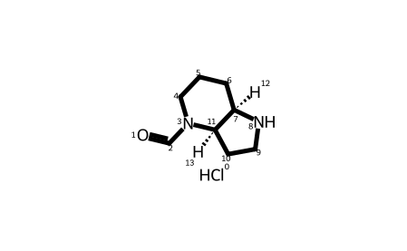 Cl.O=CN1CCC[C@H]2NCC[C@H]21